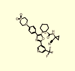 N#CC1(NC(=O)[C@@H]2CCCC[C@H]2c2oc(-c3cncc(C(F)(F)F)c3)nc2-c2ccc(N3CCS(=O)(=O)CC3)cc2)CC1